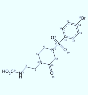 O=C(O)NCCN1CCN(S(=O)(=O)c2ccc(Br)cc2)CC1=O